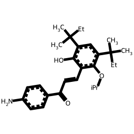 CCC(C)(C)c1cc(C(C)(C)CC)c(OC(C)C)c(/C=C/C(=O)c2ccc(N)cc2)c1O